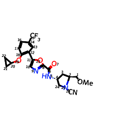 COC[C@@H]1C[C@@H](NC(=O)c2ncc(-c3cc(C(F)(F)F)ccc3OC3CC3)o2)CN1C#N